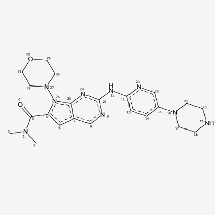 CN(C)C(=O)c1cc2cnc(Nc3ccc(N4CCNCC4)cn3)nc2n1N1CCOCC1